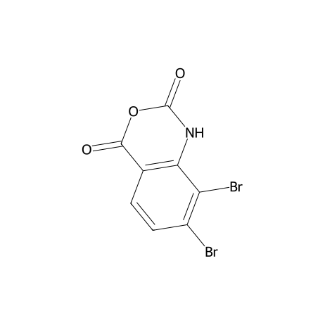 O=c1[nH]c2c(Br)c(Br)ccc2c(=O)o1